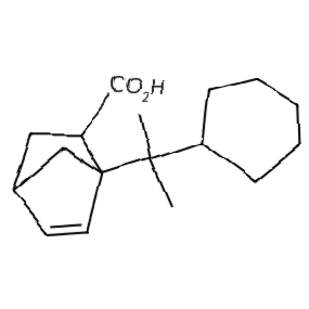 CC(C)(C1CCCCC1)C12C=CC(CC1C(=O)O)C2